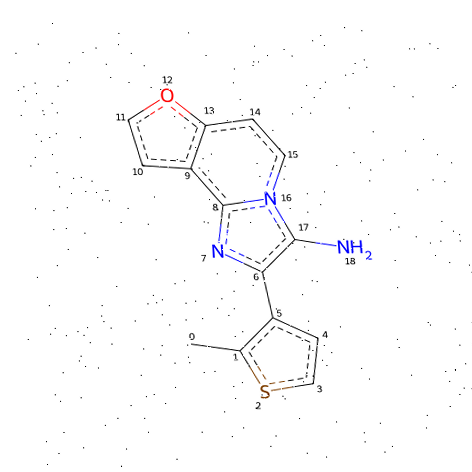 Cc1sccc1-c1nc2c3ccoc3ccn2c1N